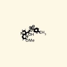 COc1ccc2nccc(C(O)COS(=O)(=O)c3ccc(C)cc3)c2n1